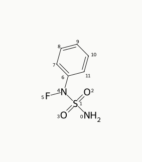 NS(=O)(=O)N(F)c1ccccc1